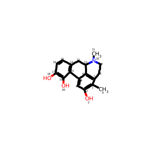 Cc1c(O)cc2c3c1CCN(C)C3Cc1ccc(O)c(O)c1-2